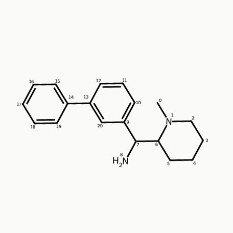 CN1CCCCC1C(N)c1cccc(-c2ccccc2)c1